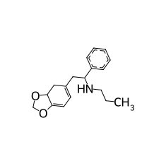 CCCNC(CC1=CC=C2OCOC2C1)c1ccccc1